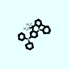 CC1(C)c2cc(N(c3ccccc3)c3ccccc3)ccc2B2c3ccccc3-c3cccc1c32